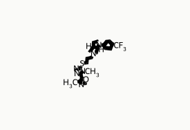 Cc1ncoc1-c1nnc(SCCCN2C[C@H]3CCN(c4ccc(C(F)(F)F)cc4)[C@H]3C2)n1C